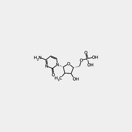 CC1C(O)[C@@H](COP(=O)(O)O)O[C@H]1n1ccc(N)nc1=O